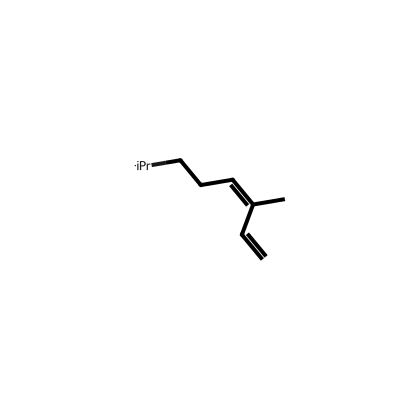 C=CC(C)=CCC[C](C)C